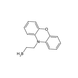 BCCN1c2ccccc2Oc2ccccc21